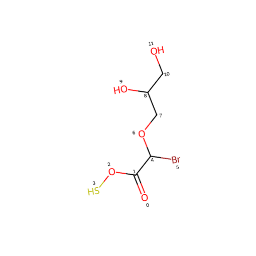 O=C(OS)C(Br)OCC(O)CO